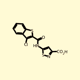 O=C(O)c1cc(NC(=O)c2sc3ccccc3c2Cl)sn1